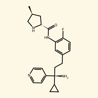 C[C@@H]1CN[C@@H](C(=O)Nc2cc(CC[C@@](N)(c3ccncc3)C3CC3)ccc2F)C1